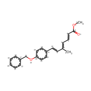 COC(=O)C=CC=C(C)C=Cc1ccc(OCc2ccccc2)cc1